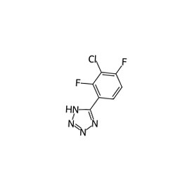 Fc1ccc(-c2nnn[nH]2)c(F)c1Cl